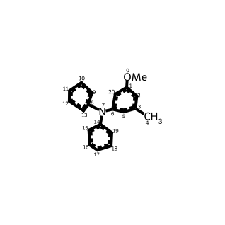 COc1cc(C)cc(N(c2ccccc2)c2ccccc2)c1